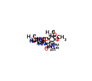 COc1ccc(OC(CCCN2C3CCC2CN(C(=O)CNC(=O)CNC(C)=O)C3)c2ccc(C#N)cc2)cc1OC